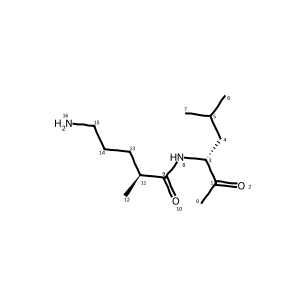 CC(=O)[C@@H](CC(C)C)NC(=O)[C@@H](C)CCCN